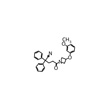 COc1cccc(OC2CN(C(=O)CCC(C#N)(c3ccccc3)c3ccccc3)C2)c1